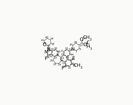 COC(OC)C1CCN(c2ccc(C3=C(c4cc(F)c(C)cc4F)CCCc4c3ccc3c4c(F)nn3C3CCCCO3)cc2)CC1